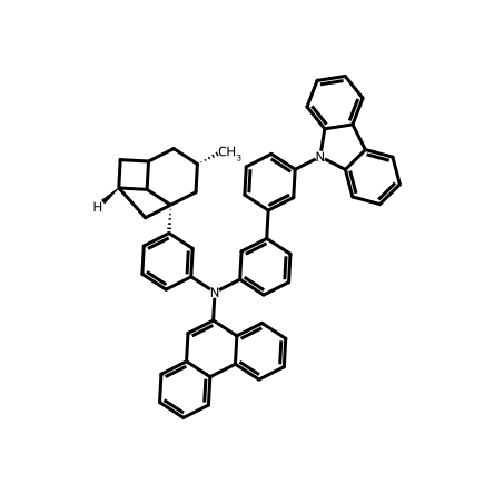 C[C@H]1CC2C[C@H]3C[C@](c4cccc(N(c5cccc(-c6cccc(-n7c8ccccc8c8ccccc87)c6)c5)c5cc6ccccc6c6ccccc56)c4)(C1)C23